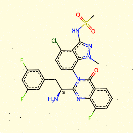 Cn1nc(NS(C)(=O)=O)c2c(Cl)ccc(-n3c([C@@H](N)Cc4cc(F)cc(F)c4)nc4c(F)cccc4c3=O)c21